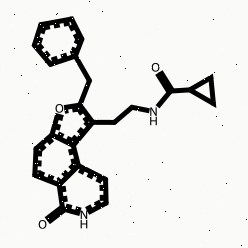 O=C(NCCc1c(Cc2ccccc2)oc2ccc3c(=O)[nH]ccc3c12)C1CC1